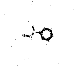 CCOP(C)c1ccccc1